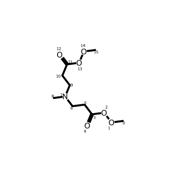 COOC(=O)CCN(C)CCC(=O)OOC